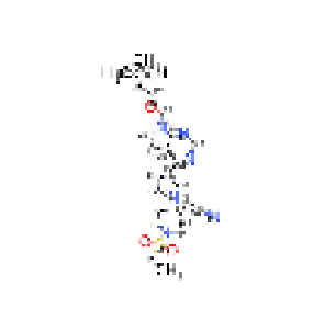 CCS(=O)(=O)N1CCC(CC#N)(n2ccc(-c3ncnc4c3ccn4COCC[Si](C)(C)C)c2)CC1